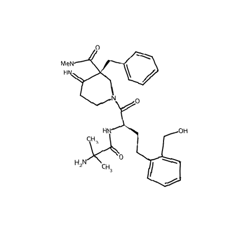 CNC(=O)[C@]1(Cc2ccccc2)CN(C(=O)[C@@H](CCc2ccccc2CO)NC(=O)C(C)(C)N)CCC1=N